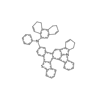 C1=Cc2cc(N(c3ccccc3)c3ccc4c(c3)c3cc5c6c(n7c8ccccc8c(c3c3c8ccccc8sc43)c57)CCC=C6)c3c(c2CC1)CCC=C3